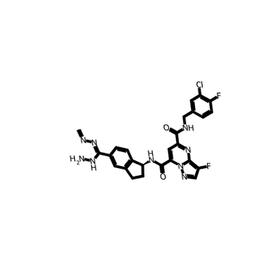 C=N/N=C(\NN)c1ccc2c(c1)CC[C@@H]2NC(=O)c1cc(C(=O)NCc2ccc(F)c(Cl)c2)nc2c(F)cnn12